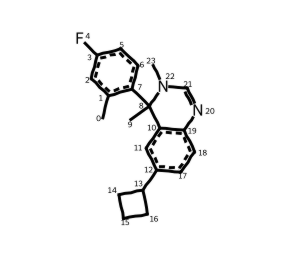 Cc1cc(F)ccc1C1(C)c2cc(C3CCC3)ccc2N=CN1C